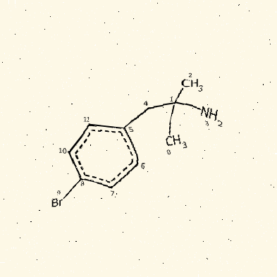 CC(C)(N)Cc1ccc(Br)cc1